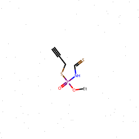 C#CCSP(=O)(NC=S)OCC